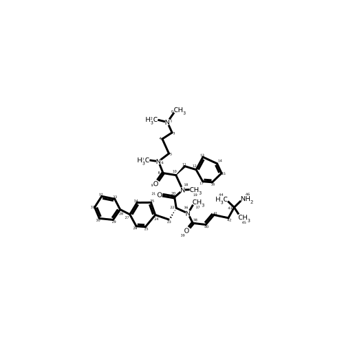 CN(C)CCCN(C)C(=O)[C@@H](Cc1ccccc1)N(C)C(=O)[C@@H](Cc1ccc(-c2ccccc2)cc1)N(C)C(=O)/C=C/CC(C)(C)N